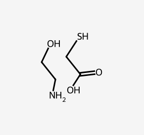 NCCO.O=C(O)CS